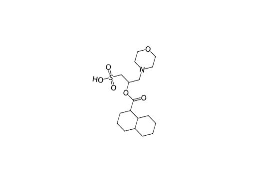 O=C(OC(CN1CCOCC1)CS(=O)(=O)O)C1CCCC2CCCCC21